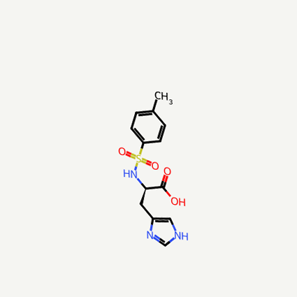 Cc1ccc(S(=O)(=O)N[C@H](Cc2c[nH]cn2)C(=O)O)cc1